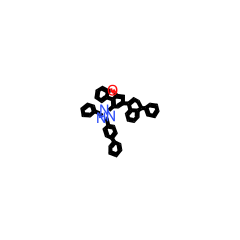 C1=C(c2cc(-c3nc(-c4ccccc4)nc(-c4ccc(-c5ccccc5)cc4)n3)c3c(c2)oc2ccccc23)c2ccccc2C(c2ccccc2)C1